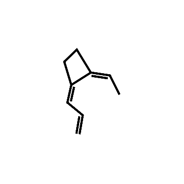 C=C/C=C1/CC/C1=C/C